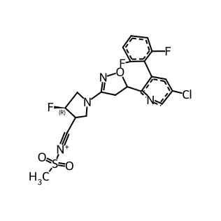 CS(=O)(=O)[N+]#CC1CN(C2=NOC(c3ncc(Cl)cc3-c3c(F)cccc3F)C2)C[C@@H]1F